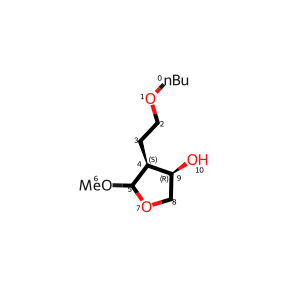 CCCCOCC[C@@H]1C(OC)OC[C@@H]1O